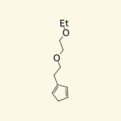 CCOCCOCCC1=CCC=C1